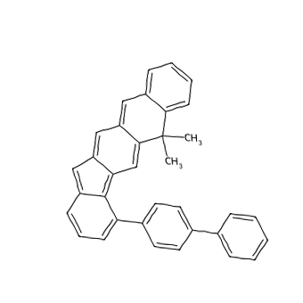 CC1(C)c2ccccc2C=c2cc3c(cc21)=c1c(-c2ccc(-c4ccccc4)cc2)cccc1=C3